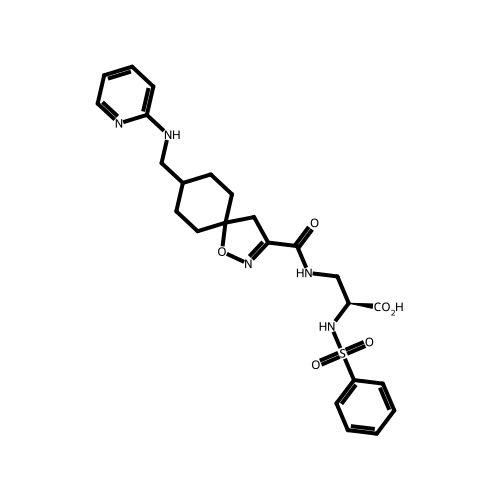 O=C(NC[C@H](NS(=O)(=O)c1ccccc1)C(=O)O)C1=NOC2(CCC(CNc3ccccn3)CC2)C1